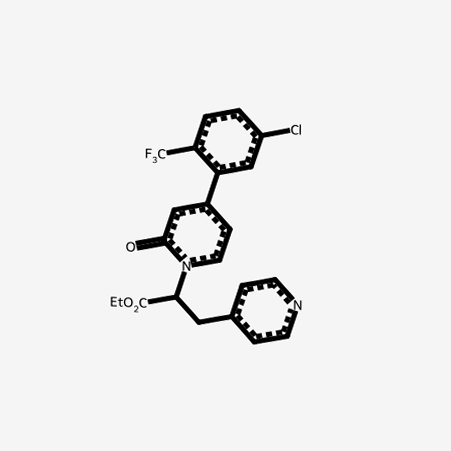 CCOC(=O)C(Cc1ccncc1)n1ccc(-c2cc(Cl)ccc2C(F)(F)F)cc1=O